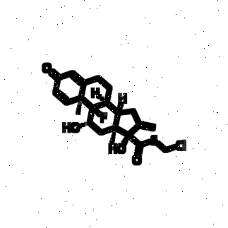 C=C1C[C@H]2[C@@H]3CCC4=CC(=O)C=C[C@]4(C)[C@@]3(F)[C@@H](O)C[C@]2(C)[C@@]1(O)C(=O)SCCl